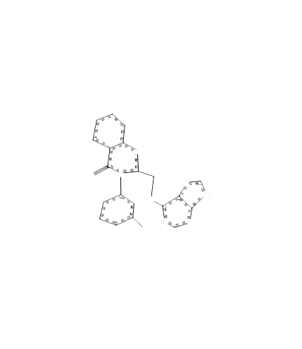 Cc1cccc(-n2c(CSc3ncnc4[nH]cnc34)nc3ccccc3c2=O)c1